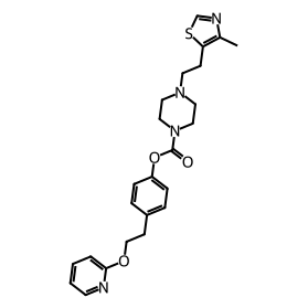 Cc1ncsc1CCN1CCN(C(=O)Oc2ccc(CCOc3ccccn3)cc2)CC1